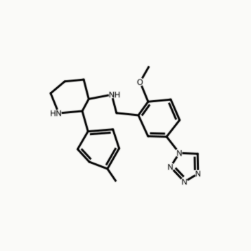 COc1ccc(-n2cnnn2)cc1CNC1CCCNC1c1ccc(C)cc1